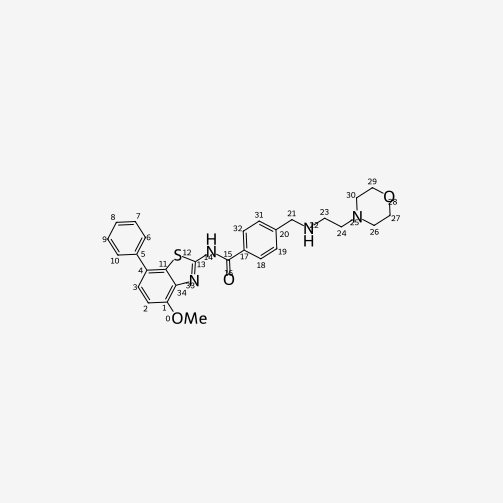 COc1ccc(-c2ccccc2)c2sc(NC(=O)c3ccc(CNCCN4CCOCC4)cc3)nc12